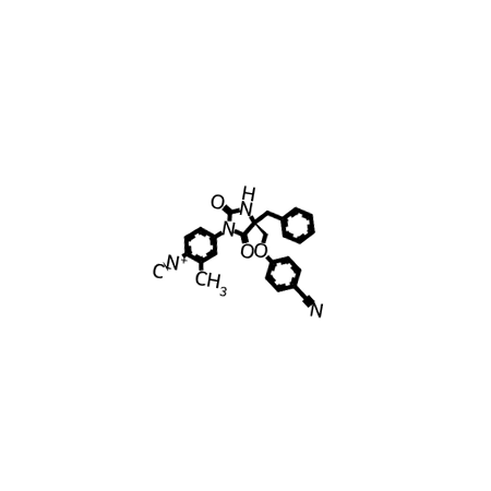 [C-]#[N+]c1ccc(N2C(=O)N[C@](COc3ccc(C#N)cc3)(Cc3ccccc3)C2=O)cc1C